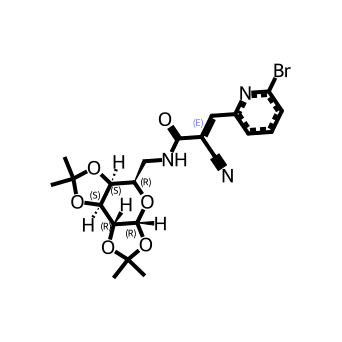 CC1(C)O[C@H]2[C@@H](O1)[C@@H](CNC(=O)/C(C#N)=C/c1cccc(Br)n1)O[C@@H]1OC(C)(C)O[C@@H]12